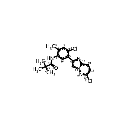 Cc1cc(Cl)c(-c2cn3nc(Cl)ccc3n2)cc1NC(=O)C(C)(C)C